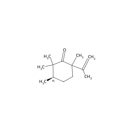 C=C(C)C1(C)CC[C@@H](C)C(C)(C)C1=O